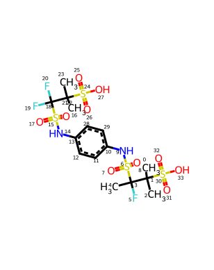 CC(C)(C(C)(F)S(=O)(=O)Nc1ccc(NS(=O)(=O)C(F)(F)C(C)(C)S(=O)(=O)O)cc1)S(=O)(=O)O